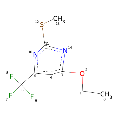 CCOc1[c]c(C(F)(F)F)nc(SC)n1